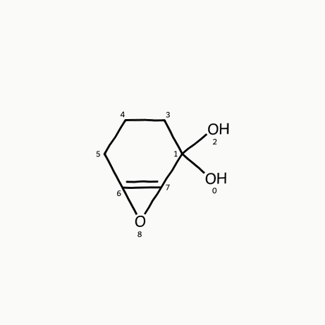 OC1(O)CCCC2=C1O2